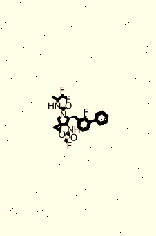 CC(NC(=O)N1CC2(CC2)[C@H](NS(=O)(=O)CF)[C@@H]1Cc1cccc(-c2ccccc2)c1F)C(F)F